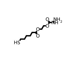 NNC(=O)OCCOC(=O)CCCCCS